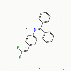 FC(F)=Cc1ccc(N=C(c2ccccc2)c2ccccc2)cc1